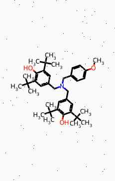 COc1ccc(CN(Cc2cc(C(C)(C)C)c(O)c(C(C)(C)C)c2)Cc2cc(C(C)(C)C)c(O)c(C(C)(C)C)c2)cc1